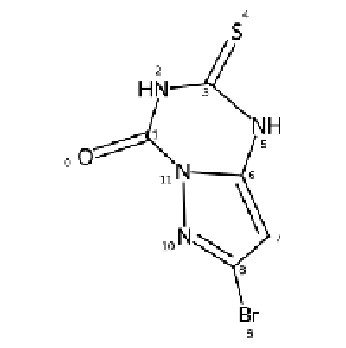 O=c1[nH]c(=S)[nH]c2cc(Br)nn12